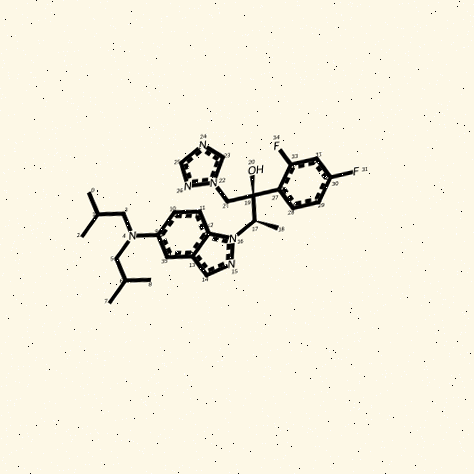 CC(C)CN(CC(C)C)c1ccc2c(cnn2[C@H](C)[C@](O)(Cn2cncn2)c2ccc(F)cc2F)c1